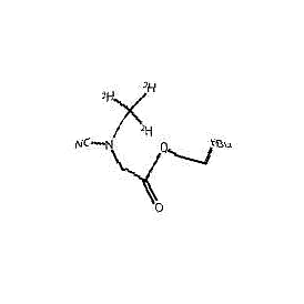 [2H]C([2H])([2H])N(C#N)CC(=O)OCC(C)(C)C